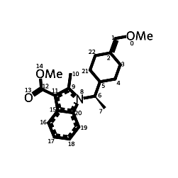 COC=C1CCC([C@@H](C)n2c(C)c(C(=O)OC)c3ccccc32)CC1